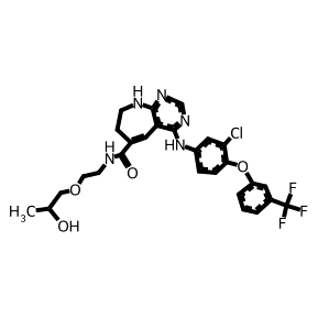 CC(O)COCCNC(=O)C1=Cc2c(ncnc2Nc2ccc(Oc3cccc(C(F)(F)F)c3)c(Cl)c2)NCC1